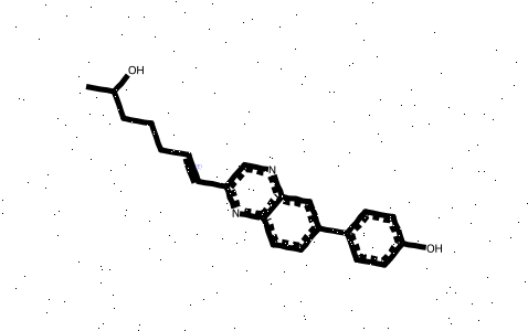 CC(O)CCC/C=C/c1cnc2cc(-c3ccc(O)cc3)ccc2n1